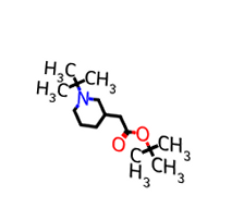 CC(C)(C)OC(=O)CC1CCCN(C(C)(C)C)C1